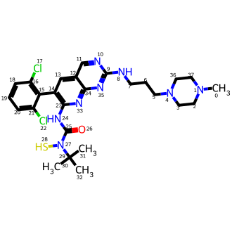 CN1CCN(CCCNc2ncc3cc(-c4c(Cl)cccc4Cl)c(NC(=O)N(S)C(C)(C)C)nc3n2)CC1